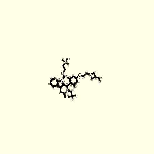 CC1Cc2c(n(COCC[Si](C)(C)C)c3ncccc23)C(c2c(F)cc(OCCN3CC(CF)C3)cc2F)N1CC(C)(C)F